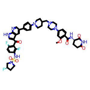 COc1cc(N2CCN(CC3CCN(c4ccc(-c5cnc6[nH]cc(C(=O)c7c(F)ccc(NS(=O)(=O)N8CC[C@@H](F)C8)c7F)c6c5)cc4)CC3)CC2)ccc1C(=O)N[C@H]1CCC(=O)NC1=O